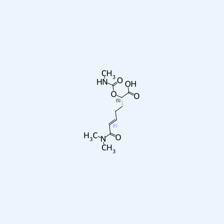 CNC(=O)O[C@@H](CC/C=C/C(=O)N(C)C)C(=O)O